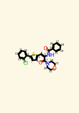 O=C(N/C(=C/c1ccc(-c2ccccc2Cl)s1)C(=O)N1CCOCC1)c1ccccc1